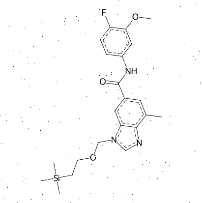 COc1cc(NC(=O)c2cc(C)c3ncn(COCC[Si](C)(C)C)c3c2)ccc1F